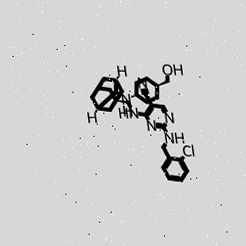 N#Cc1cnc(NCc2ccccc2Cl)nc1NC[C@]12CC3C[C@H](C1)C(N[C@H]1CC[C@H](CO)CC1)[C@@H](C3)C2